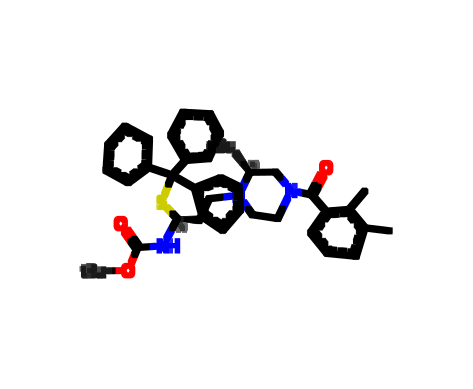 CCCC[C@H]1CN(C(=O)c2cccc(C)c2C)CCN1CC[C@@H](NC(=O)OC(C)(C)C)SC(c1ccccc1)(c1ccccc1)c1ccccc1